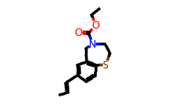 C/C=C/c1ccc2c(c1)CN(C(=O)OCC)CCS2